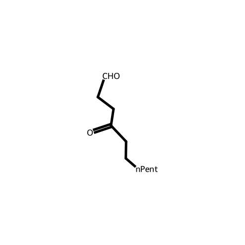 CCCCCCCC(=O)CCC=O